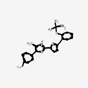 BC(B)(P)Oc1ccccc1-c1ccc(-c2nc(-c3ccc(C)cc3)c(C)[nH]2)o1